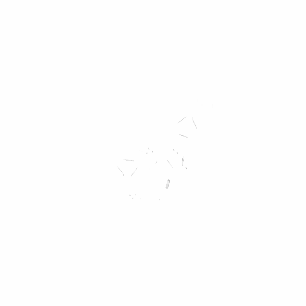 COC(C)(C)C#Cc1nc(Cl)n(Cc2ccc(OC(F)(F)F)cc2)c1C(=O)N[C@@H](C)c1ccc(C(=O)O)cc1